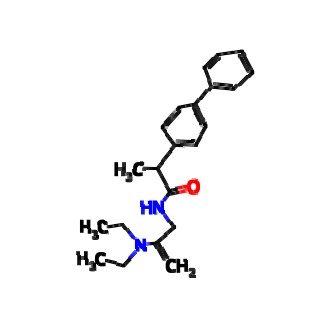 C=C(CNC(=O)C(C)c1ccc(-c2ccccc2)cc1)N(CC)CC